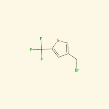 FC(F)(F)c1cc(CBr)cs1